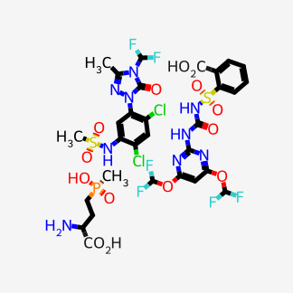 CP(=O)(O)CCC(N)C(=O)O.Cc1nn(-c2cc(NS(C)(=O)=O)c(Cl)cc2Cl)c(=O)n1C(F)F.O=C(Nc1nc(OC(F)F)cc(OC(F)F)n1)NS(=O)(=O)c1ccccc1C(=O)O